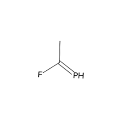 CC(F)=P